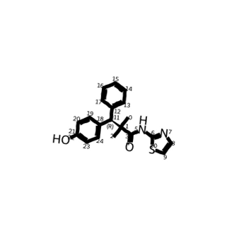 CC(C)(C(=O)Nc1nccs1)[C@H](c1ccccc1)c1ccc(O)cc1